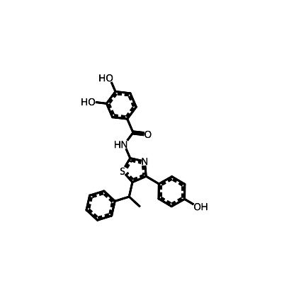 CC(c1ccccc1)c1sc(NC(=O)c2ccc(O)c(O)c2)nc1-c1ccc(O)cc1